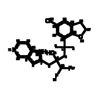 CC(C)(CC(O)(Cc1cc2cnccc2[nH]1)C(F)F)c1cc(Cl)cc2c1OCC2